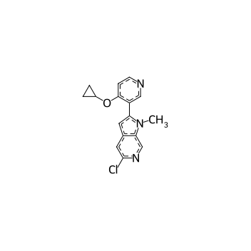 Cn1c(-c2cnccc2OC2CC2)cc2cc(Cl)ncc21